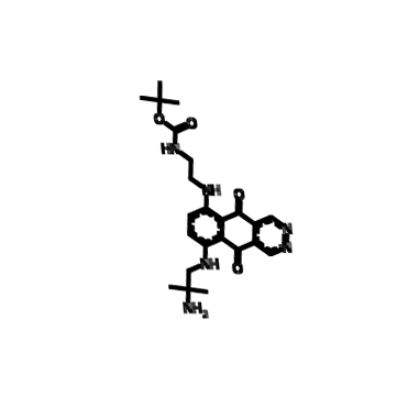 CC(C)(N)CNc1ccc(NCCNC(=O)OC(C)(C)C)c2c1C(=O)c1cnncc1C2=O